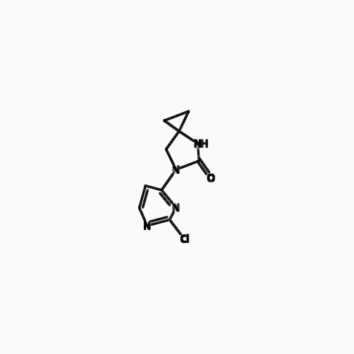 O=C1NC2(CC2)CN1c1ccnc(Cl)n1